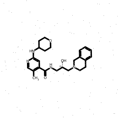 Cc1cnc(NC2CCOCC2)cc1C(=O)NC[C@H](O)CN1CCc2ccccc2C1